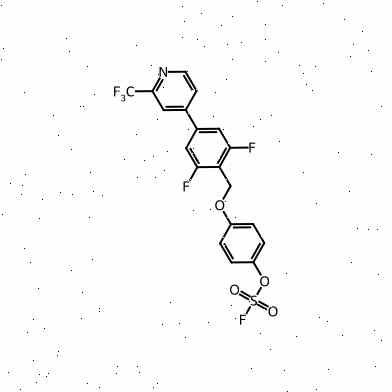 O=S(=O)(F)Oc1ccc(OCc2c(F)cc(-c3ccnc(C(F)(F)F)c3)cc2F)cc1